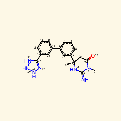 CN1C(=N)N[C@](C)(c2cccc(-c3cccc(C4=NNNN4)c3)c2)CC1=O